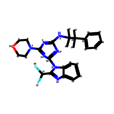 CC(C)(Nc1nc(N2CCOCC2)nc(-n2c(C(F)F)nc3ccccc32)n1)C(C)(C)c1ccccc1